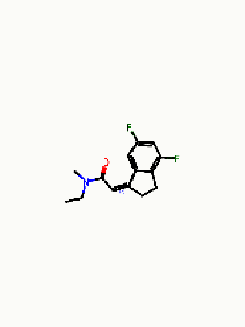 CCN(C)C(=O)/C=C1/CCc2c(F)cc(F)cc21